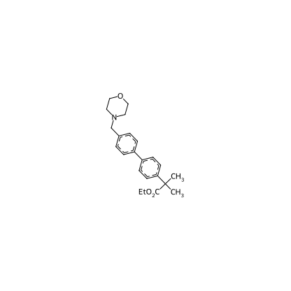 CCOC(=O)C(C)(C)c1ccc(-c2ccc(CN3CCOCC3)cc2)cc1